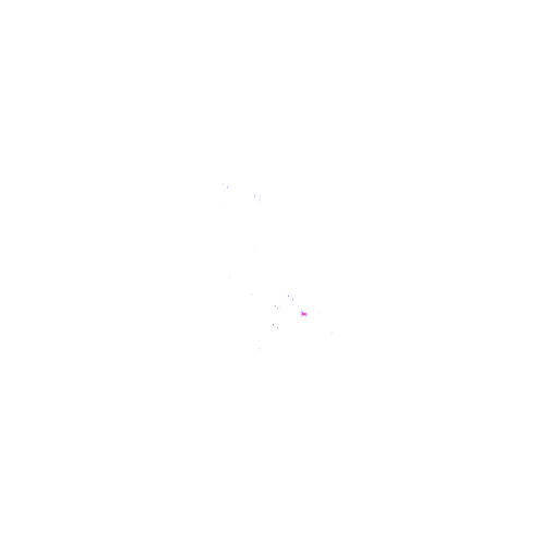 S=P(c1ccncc1)(c1ccc2cncnc2c1)c1cccc2c3ccccc3n3c4ccccc4nc3c12